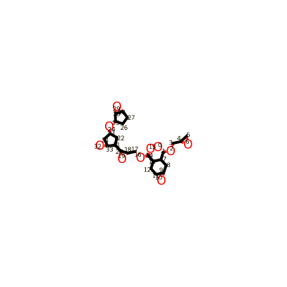 O=C(OCC1CO1)C1CC2OC2CC1C(=O)OCC1OC1C1CC(OC2CCC3OC23)C2OC12